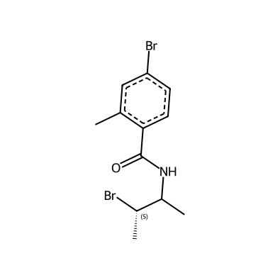 Cc1cc(Br)ccc1C(=O)NC(C)[C@H](C)Br